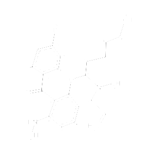 C=CCN(C)C(CCCCC)Oc1cccc(NC)c1C(=O)c1ccc(Br)cc1